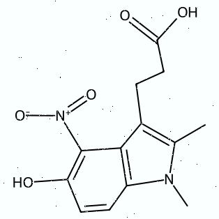 Cc1c(CCC(=O)O)c2c([N+](=O)[O-])c(O)ccc2n1C